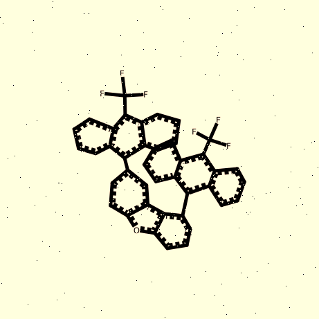 FC(F)(F)c1c2ccccc2c(-c2ccc3oc4cccc(-c5c6ccccc6c(C(F)(F)F)c6ccccc56)c4c3c2)c2ccccc12